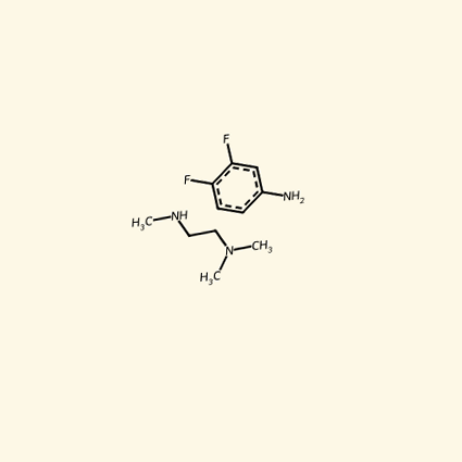 CNCCN(C)C.Nc1ccc(F)c(F)c1